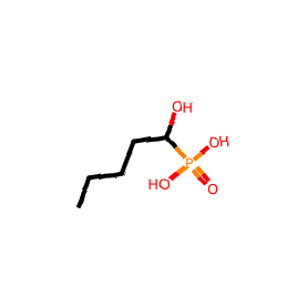 CCCCC(O)P(=O)(O)O